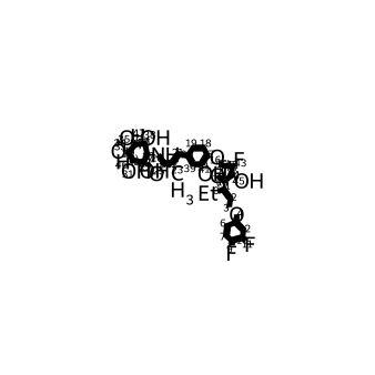 CCC(=CCOc1ccc(F)c(F)c1)[C@H]1O[C@@H](Oc2ccc(C=C(C)C(=O)N[C@@H]3[C@H](O)[C@@H](O)[C@H]4OCO[C@H]4[C@@H]3O)cc2O)[C@@H](F)[C@@H]1O